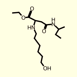 CCOC(=O)C(CC(=O)NC(C)CC)NCCCCCCO